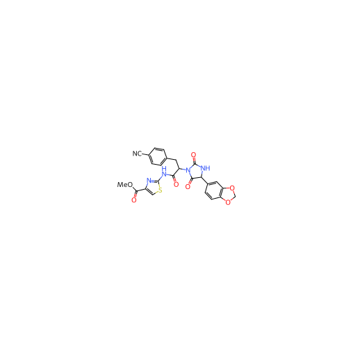 COC(=O)c1csc(NC(=O)C(Cc2ccc(C#N)cc2)N2C(=O)NC(c3ccc4c(c3)OCO4)C2=O)n1